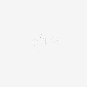 CC(C)Cc1cccc(C(=O)NCc2ccccc2)c1